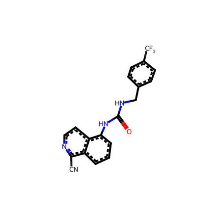 N#Cc1nccc2c(NC(=O)NCc3ccc(C(F)(F)F)cc3)cccc12